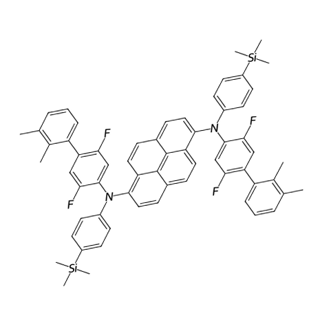 Cc1cccc(-c2cc(F)c(N(c3ccc([Si](C)(C)C)cc3)c3ccc4ccc5c(N(c6ccc([Si](C)(C)C)cc6)c6cc(F)c(-c7cccc(C)c7C)cc6F)ccc6ccc3c4c65)cc2F)c1C